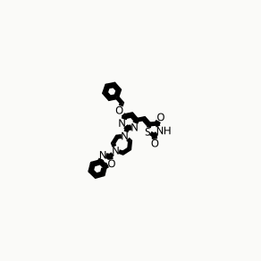 O=C1NC(=O)C(=Cc2cc(OCc3ccccc3)nc(N3CCCN(c4nc5ccccc5o4)CC3)n2)S1